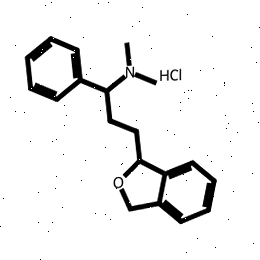 CN(C)C(CCC1OCc2ccccc21)c1ccccc1.Cl